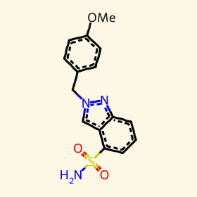 COc1ccc(Cn2cc3c(S(N)(=O)=O)cccc3n2)cc1